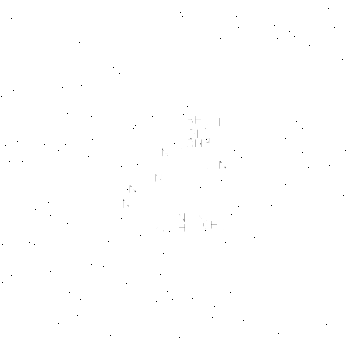 BC1(B)CCN2c3ccn4ncc(c4n3)C(=O)N[C@H](C)CCc3ncc(F)cc3C21B